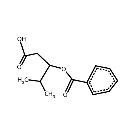 CC(C)C(CC(=O)O)OC(=O)c1ccccc1